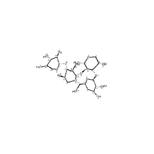 C[C@@H]1OC[C@H](O)[C@H](O[C@@H]2O[C@H](CO)C[C@H](O)[C@H]2O)[C@H]1O[C@@H]1OC[C@@H](O)[C@H](O[C@@H]2OC[C@@H](O)[C@H](O)[C@H]2O)[C@H]1O